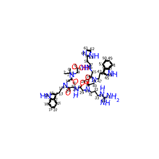 CC(C)N(CC(=O)O)C(=O)CN(CCc1c[nH]c2ccccc12)C(=O)CNC(=O)CN(CCCNC(=N)N)C(=O)CN(CCc1c[nH]c2ccccc12)C(=O)CNCCc1ncc[nH]1